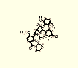 COc1ccc(C(=O)N2CCOCC2)cc1-c1nc2c(n1C(C)C)C(c1ccc(Cl)cc1C)N(c1cc(Cl)ccc1C)C2=O